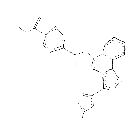 Cc1cc(-c2nnc3c4ccccc4c(O[C@H](C)c4ccc(C(=O)NC(C)C)cn4)nn23)no1